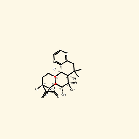 C=C1C(=O)[C@]23[C@H](O)[C@H]1CC[C@H]2[C@@]12CO[C@]3(O)[C@@H](O)[C@@H]1C(C)(C)Cc1nccnc12